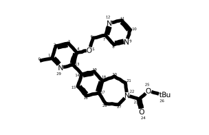 Cc1ccc(OCc2cnccn2)c(-c2ccc3c(c2)CCN(C(=O)OC(C)(C)C)CC3)n1